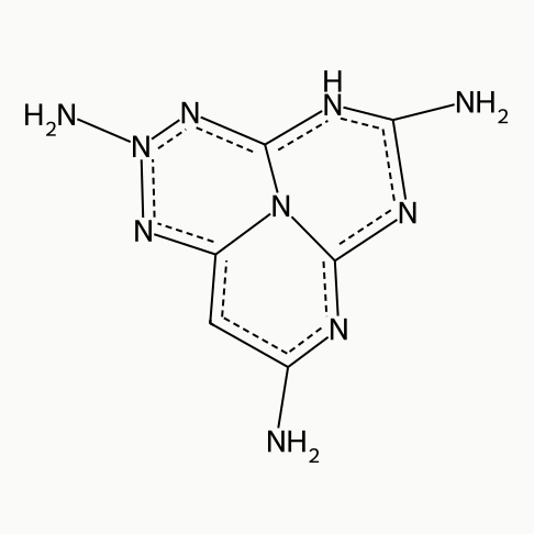 Nc1cc2nn(N)nc3[nH]c(N)nc(n1)N23